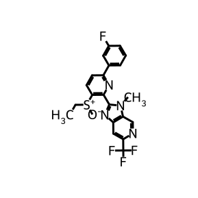 CC[S+]([O-])c1ccc(-c2cccc(F)c2)nc1-c1nc2cc(C(F)(F)F)ncc2n1C